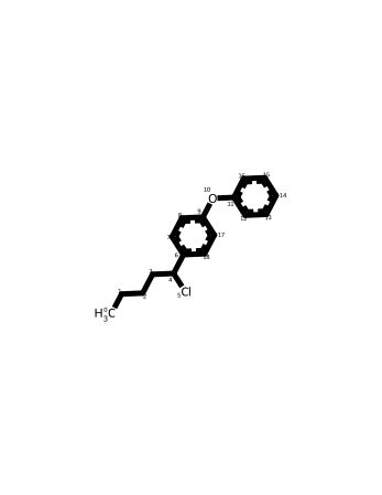 CCCCC(Cl)c1ccc(Oc2ccccc2)cc1